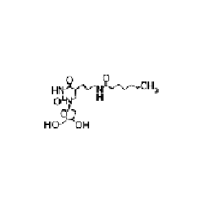 CCCCCCC(=O)NC/C=C/c1cn([C@H]2C[C@@H](O)[C@@H](CO)O2)c(=O)[nH]c1=O